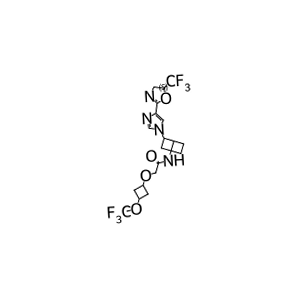 O=C(COC1CC(OC(F)(F)F)C1)NC12CCC1C(n1cnc(C3=NC[C@@H](C(F)(F)F)O3)c1)C2